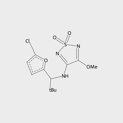 COC1=NS(=O)(=O)N=C1NC(c1ccc(Cl)o1)C(C)(C)C